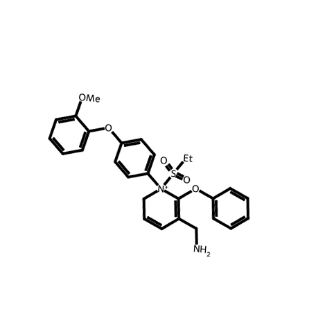 CCS(=O)(=O)[N+]1(c2ccc(Oc3ccccc3OC)cc2)CC=CC(CN)=C1Oc1ccccc1